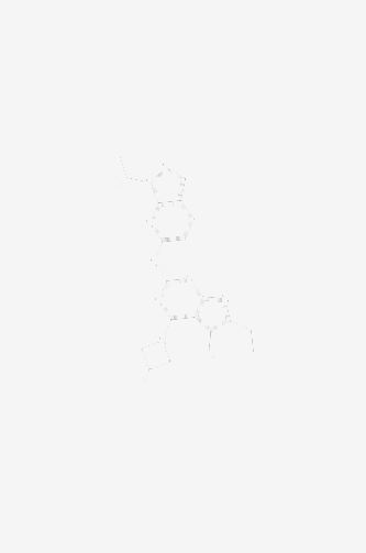 CCc1[nH]c2nc(Nc3ccc4cnn(C(C)C)c4n3)nc(N3CC(O)C3)c2c1Br